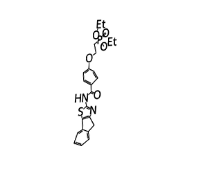 CCOP(=O)(CCOc1ccc(C(=O)Nc2nc3c(s2)-c2ccccc2C3)cc1)OCC